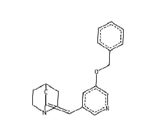 C(=C1/CC2CCN1CC2)/c1cncc(OCc2ccccc2)c1